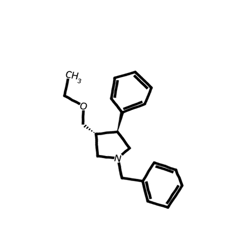 CCOC[C@H]1CN(Cc2ccccc2)C[C@@H]1c1ccccc1